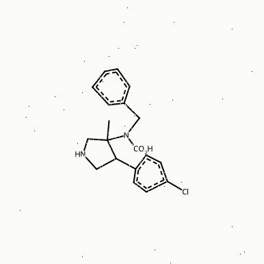 CC1(N(Cc2ccccc2)C(=O)O)CNCC1c1ccc(Cl)cc1